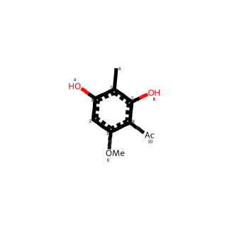 COc1cc(O)c(C)c(O)c1C(C)=O